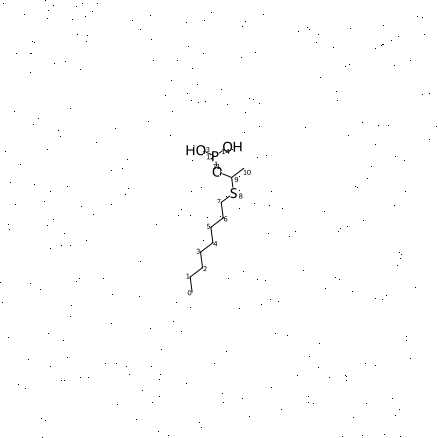 CCCCCCCCSC(C)OP(O)O